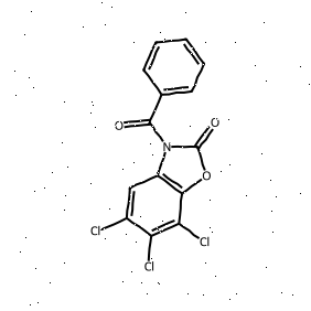 O=C(c1ccccc1)n1c(=O)oc2c(Cl)c(Cl)c(Cl)cc21